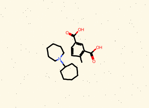 C1CCCC(N2CCCCCC2)CC1.Cc1ccc(C(=O)O)cc1C(=O)O